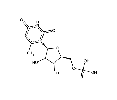 Cc1cc(=O)[nH]c(=O)n1[C@H]1O[C@@H](COP(=O)(O)O)C(O)C1O